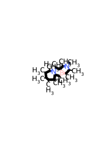 C[C@@H]1[C@H](C)[C@H](C)[C@@H]2[C@H](C)B3[C@H]([C@@H](C)N(C)[C@@H](C)[C@H]3C)[C@H](C)N2[C@H](C)[C@@H]1C